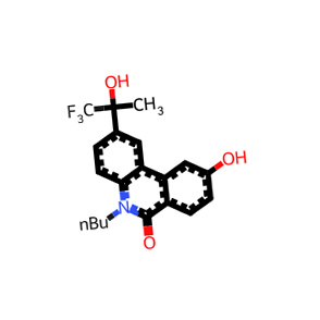 CCCCn1c(=O)c2ccc(O)cc2c2cc(C(C)(O)C(F)(F)F)ccc21